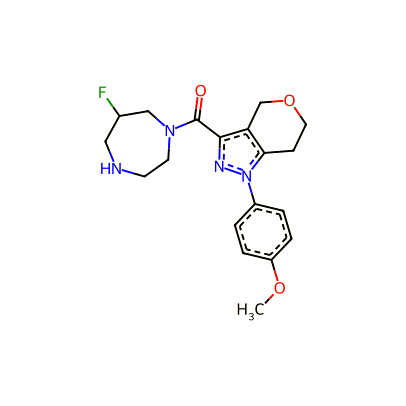 COc1ccc(-n2nc(C(=O)N3CCNCC(F)C3)c3c2CCOC3)cc1